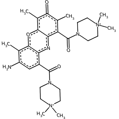 Cc1c2oc3c(C)c(N)cc(C(=O)N4CC[N+](C)(C)CC4)c3nc-2c(C(=O)N2CC[N+](C)(C)CC2)c(C)c1=O